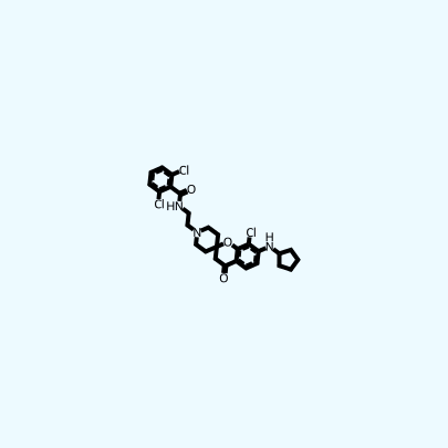 O=C1CC2(CCN(CCNC(=O)c3c(Cl)cccc3Cl)CC2)Oc2c1ccc(NC1CCCC1)c2Cl